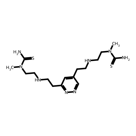 CN(CCNCCc1cnnc(CCNCCN(C)C(N)=S)c1)C(N)=S